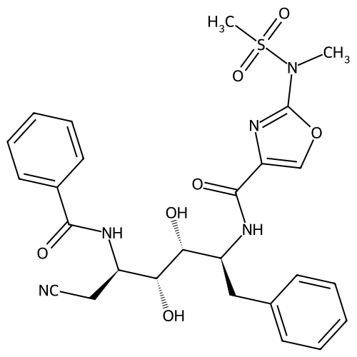 CN(c1nc(C(=O)N[C@@H](Cc2ccccc2)[C@@H](O)[C@H](O)[C@@H](CC#N)NC(=O)c2ccccc2)co1)S(C)(=O)=O